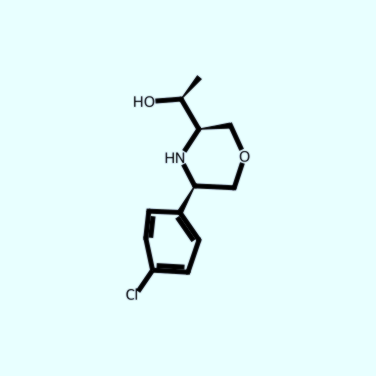 C[C@H](O)[C@H]1COC[C@@H](c2ccc(Cl)cc2)N1